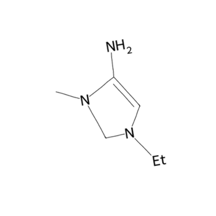 CCN1C=C(N)N(C)C1